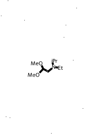 CCN(CC(OC)OC)C(C)C